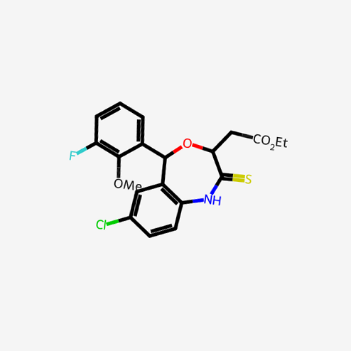 CCOC(=O)CC1OC(c2cccc(F)c2OC)c2cc(Cl)ccc2NC1=S